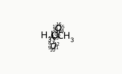 CC(C)(CC(=CI)c1ccccc1)c1ccccc1